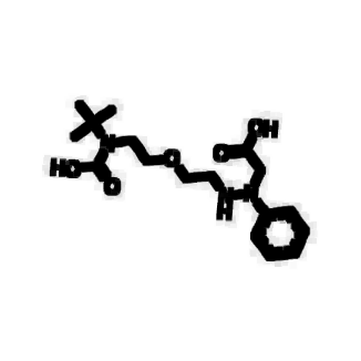 CC(C)(C)N(CCOCCNN(CC(=O)O)c1ccccc1)C(=O)O